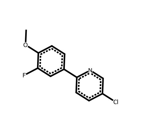 COc1ccc(-c2ccc(Cl)cn2)cc1F